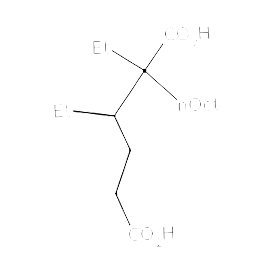 CCCCCCCCC(CC)(C(=O)O)C(CC)CCC(=O)O